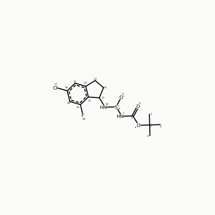 CC(C)(C)OC(=O)N[S+]([O-])NC1CCc2cc(Cl)cc(F)c21